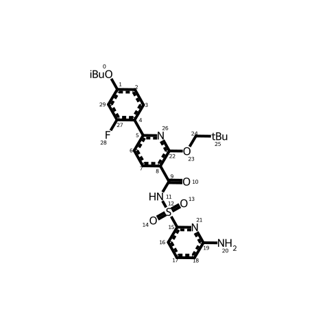 CC(C)COc1ccc(-c2ccc(C(=O)NS(=O)(=O)c3cccc(N)n3)c(OCC(C)(C)C)n2)c(F)c1